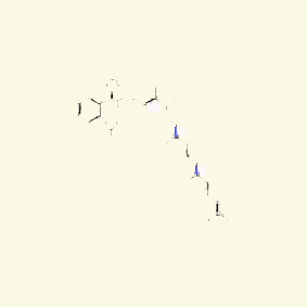 CCOc1ccccc1C(=O)OC/C=C(\C)CC/C=C(\C)CC/C=C(\C)CCC=C(C)C